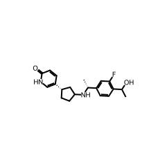 CC(O)c1ccc([C@@H](C)NC2CC[C@H](c3ccc(=O)[nH]c3)C2)cc1F